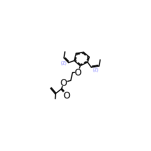 C=C(C)C(=O)OCCOc1c(/C=C\C)cccc1/C=C\C